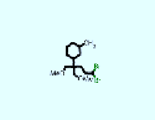 COCC(CCC(Br)Br)(COC)C1CCCC(C)C1